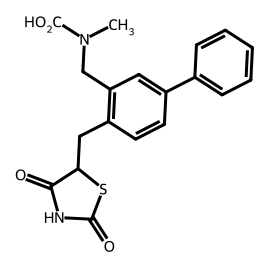 CN(Cc1cc(-c2ccccc2)ccc1CC1SC(=O)NC1=O)C(=O)O